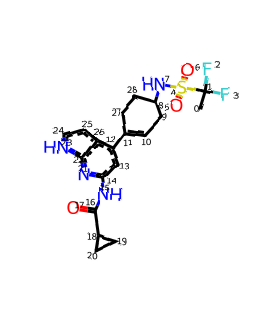 CC(F)(F)S(=O)(=O)NC1CC=C(c2cc(NC(=O)C3CC3)nc3[nH]ccc23)CC1